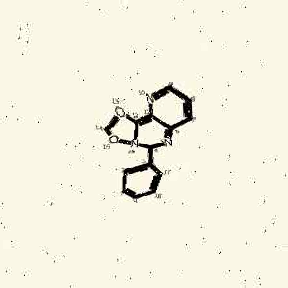 c1ccc(C2N=c3cccnc3=C3OCON32)cc1